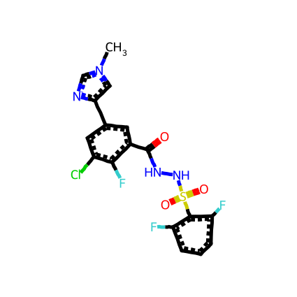 Cn1cnc(-c2cc(Cl)c(F)c(C(=O)NNS(=O)(=O)c3c(F)cccc3F)c2)c1